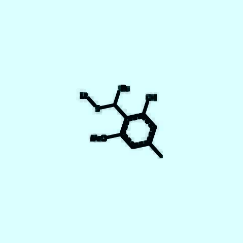 CCSC(c1c(O)cc(C)cc1OC)C(C)(C)C